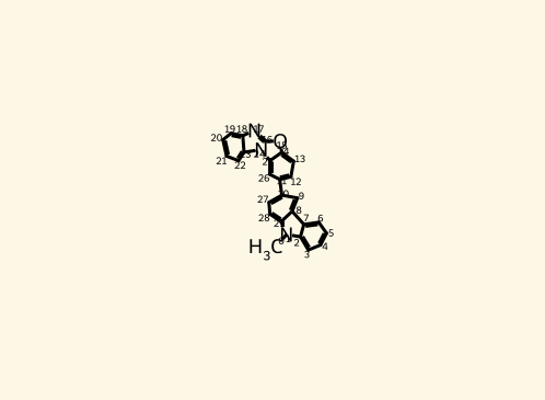 Cn1c2ccccc2c2cc(-c3ccc4oc5nc6ccccc6n5c4c3)ccc21